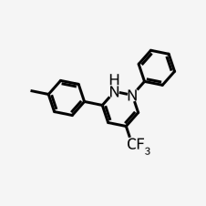 Cc1ccc(C2=CC(C(F)(F)F)=CN(c3ccccc3)N2)cc1